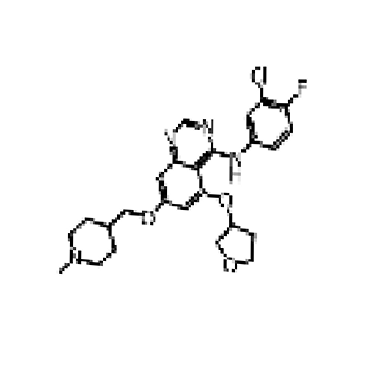 CN1CCC(COc2cc(OC3CCOC3)c3c(Nc4ccc(F)c(Cl)c4)ncnc3c2)CC1